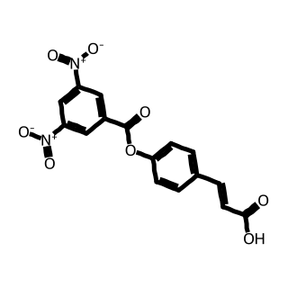 O=C(O)/C=C/c1ccc(OC(=O)c2cc([N+](=O)[O-])cc([N+](=O)[O-])c2)cc1